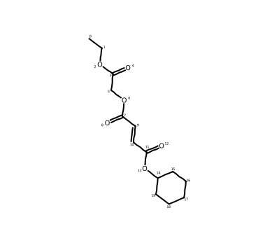 CCOC(=O)COC(=O)/C=C/C(=O)OC1CCCCC1